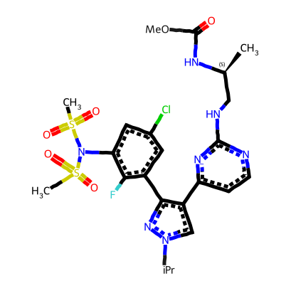 COC(=O)N[C@@H](C)CNc1nccc(-c2cn(C(C)C)nc2-c2cc(Cl)cc(N(S(C)(=O)=O)S(C)(=O)=O)c2F)n1